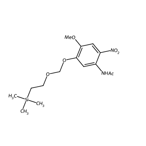 COc1cc([N+](=O)[O-])c(NC(C)=O)cc1OCOCC[Si](C)(C)C